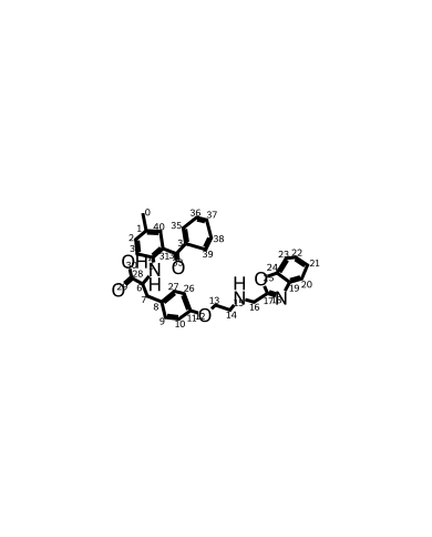 Cc1ccc(NC(Cc2ccc(OCCNCc3nc4ccccc4o3)cc2)C(=O)O)c(C(=O)c2ccccc2)c1